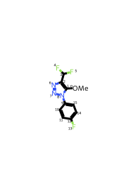 COc1c(C(F)F)nnn1-c1ccc(F)cc1